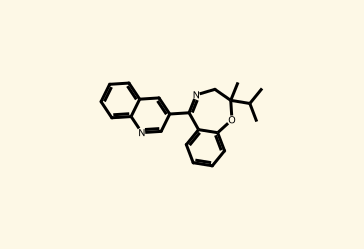 CC(C)C1(C)CN=C(c2cnc3ccccc3c2)c2ccccc2O1